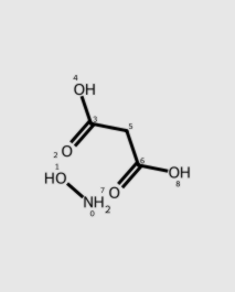 NO.O=C(O)CC(=O)O